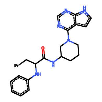 CC(C)CC(Nc1ccccc1)C(=O)NC1CCCN(c2ncnc3[nH]ccc23)C1